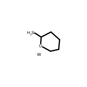 [SiH3]C1CCCCO1.[W]